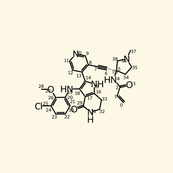 C=CC(=O)N[C@]1(C#Cc2cnccc2-c2[nH]c3c(c2Nc2cccc(Cl)c2OC)C(=O)NCC3)CCN(C)C1